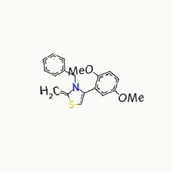 C=C1SC=C(c2cc(OC)ccc2OC)N1Cc1ccccc1